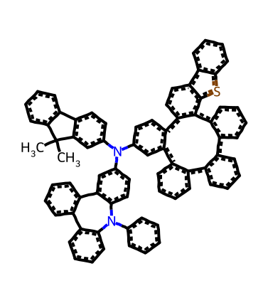 CC1(C)c2ccccc2-c2ccc(N(c3ccc4c(c3)-c3ccccc3-c3ccccc3N4c3ccccc3)c3ccc4c(c3)c3ccccc3c3ccccc3c3ccccc3c3c4ccc4c5ccccc5sc43)cc21